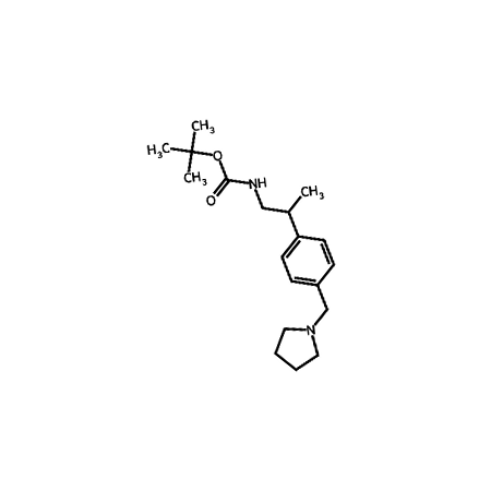 CC(CNC(=O)OC(C)(C)C)c1ccc(CN2CCCC2)cc1